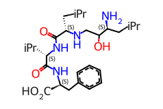 CC(C)C[C@H](NCC(O)[C@@H](N)CC(C)C)C(=O)N[C@H](C(=O)N[C@@H](Cc1ccccc1)C(=O)O)C(C)C